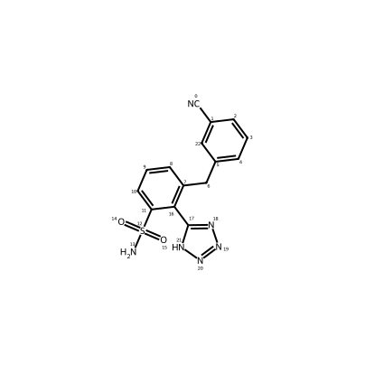 N#Cc1cccc(Cc2cccc(S(N)(=O)=O)c2-c2nnn[nH]2)c1